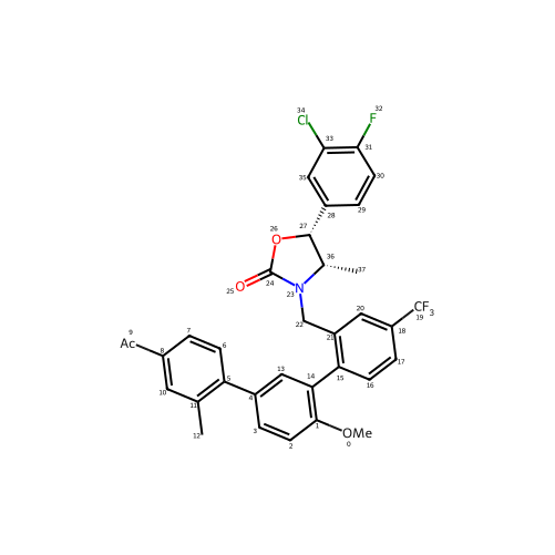 COc1ccc(-c2ccc(C(C)=O)cc2C)cc1-c1ccc(C(F)(F)F)cc1CN1C(=O)O[C@H](c2ccc(F)c(Cl)c2)[C@@H]1C